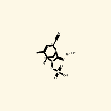 CC1=C[C@@H](C#N)N2C[C@@H]1N(OS(=O)(=O)O)C2=O.[H+].[Na+]